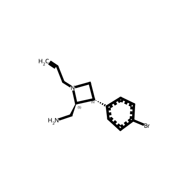 C=CCN1C[C@H](c2ccc(Br)cc2)[C@H]1CN